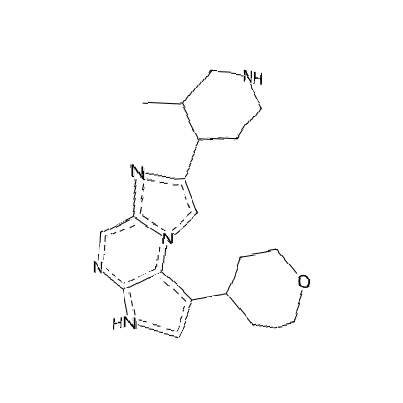 CC1CNCCC1c1cn2c(cnc3[nH]cc(C4CCOCC4)c32)n1